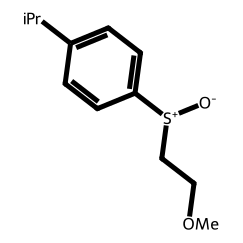 COCC[S+]([O-])c1ccc(C(C)C)cc1